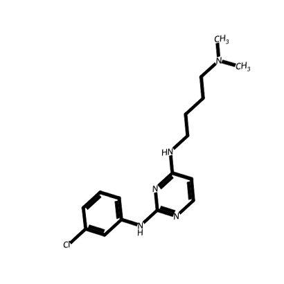 CN(C)CCCCNc1ccnc(Nc2cccc(Cl)c2)n1